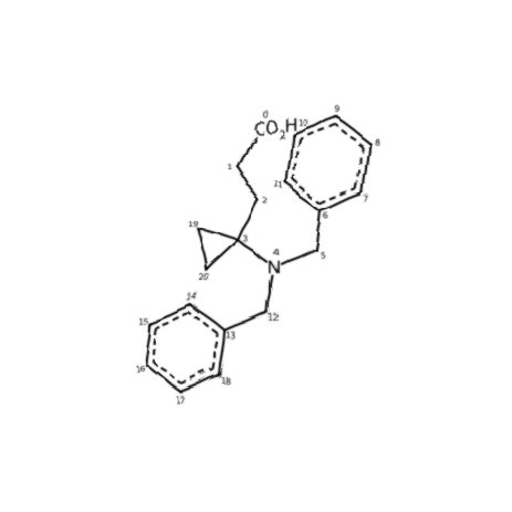 O=C(O)CCC1(N(Cc2ccccc2)Cc2ccccc2)CC1